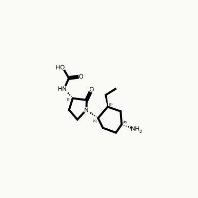 CC[C@H]1C[C@H](N)CC[C@@H]1N1CC[C@H](NC(=O)O)C1=O